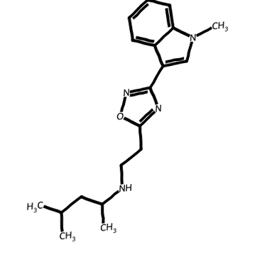 CC(C)CC(C)NCCc1nc(-c2cn(C)c3ccccc23)no1